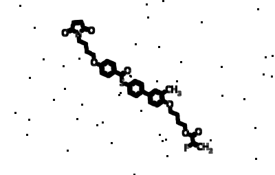 C=C(F)C(=O)OCCCCOc1ccc(-c2ccc(SC(=O)c3ccc(OCCCCN4C(=O)C=CC4=O)cc3)cc2)cc1C